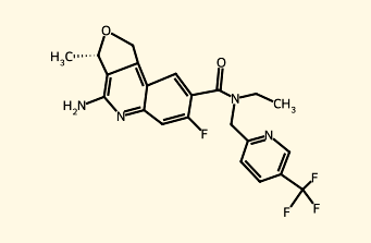 CCN(Cc1ccc(C(F)(F)F)cn1)C(=O)c1cc2c3c(c(N)nc2cc1F)[C@H](C)OC3